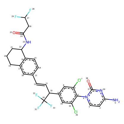 Nc1ccn(-c2c(Cl)cc(C(/C=C/c3ccc4c(c3)CCCC4NC(=O)CC(F)F)C(F)(F)F)cc2Cl)c(=O)n1